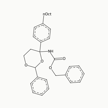 CCCCCCCCc1ccc(C2(NC(=O)OCc3ccccc3)CCOC(c3ccccc3)O2)cc1